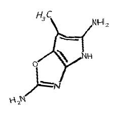 Cc1c(N)[nH]c2nc(N)oc12